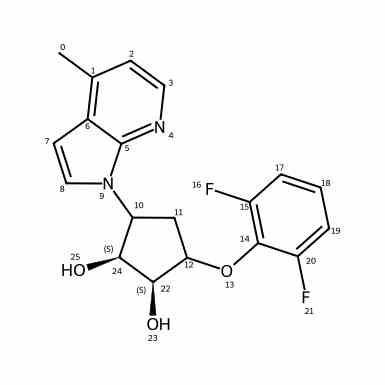 Cc1ccnc2c1ccn2C1CC(Oc2c(F)cccc2F)[C@@H](O)[C@H]1O